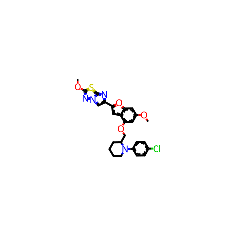 COc1cc(OCC2CCCCN2c2ccc(Cl)cc2)c2cc(-c3cn4nc(OC)sc4n3)oc2c1